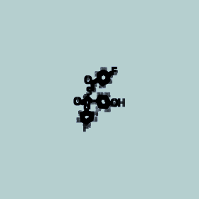 O=C(CS[C@@H]1C(=O)N(c2ccc(F)cc2)[C@@H]1c1ccc(O)cc1)c1ccc(F)cc1